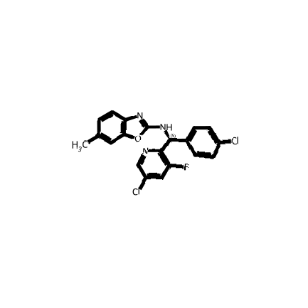 Cc1ccc2nc(N[C@@H](c3ccc(Cl)cc3)c3ncc(Cl)cc3F)oc2c1